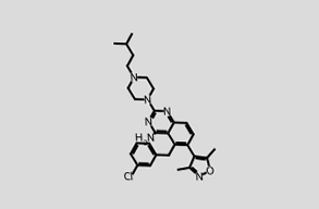 Cc1noc(C)c1-c1ccc2nc(N3CCN(CCC(C)C)CC3)nc(N)c2c1Cc1cccc(Cl)c1